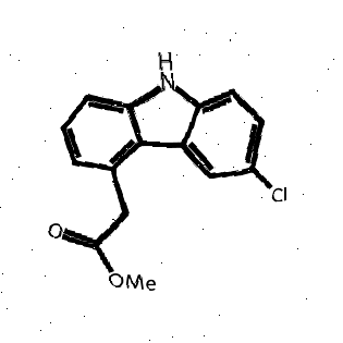 COC(=O)Cc1cccc2[nH]c3ccc(Cl)cc3c12